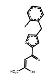 O=C(O)C(O)=CC(=O)c1cc(Cc2ccccc2F)co1